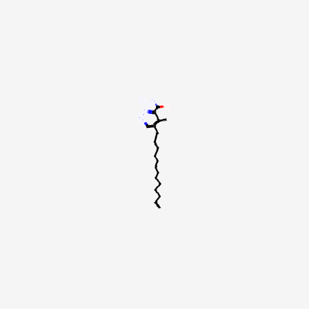 CCCCCCCCCCCCCc1cnnc(C(N)=O)c1C